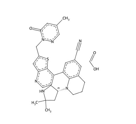 Cc1cnn(Cc2cc3nccc(-c4cc(C#N)cc5c4N([C@H]4CNC(C)(C)C4)CCC5)c3s2)c(=O)c1.O=CO